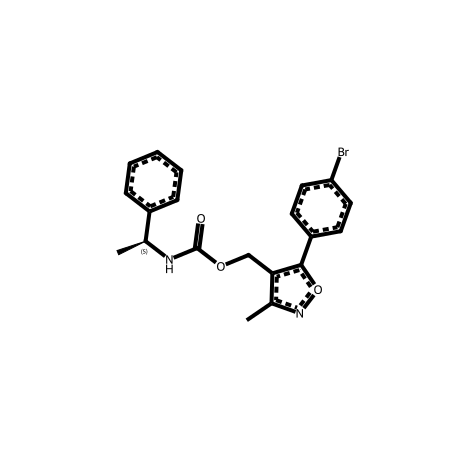 Cc1noc(-c2ccc(Br)cc2)c1COC(=O)N[C@@H](C)c1ccccc1